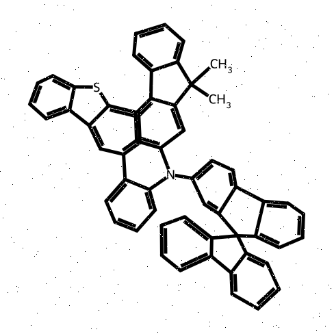 CC1(C)c2ccccc2-c2ccc(N(c3ccc4c(c3)C3(c5ccccc5-c5ccccc53)c3ccccc3-4)c3ccccc3-c3ccc4sc5ccccc5c4c3)cc21